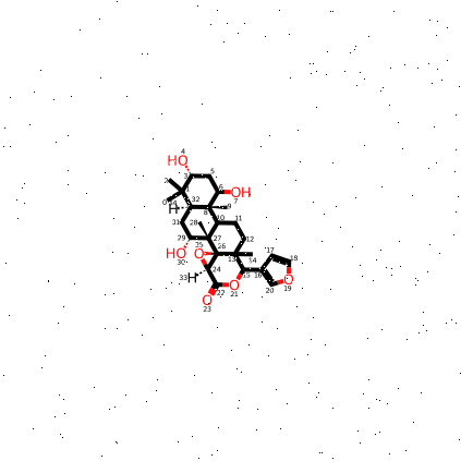 CC1(C)[C@H](O)CC(O)[C@]2(C)C3CCC4(C)C(c5ccoc5)OC(=O)[C@H]5O[C@]54[C@]3(C)[C@H](O)C[C@@H]12